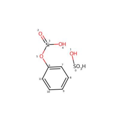 O=S(=O)(O)O.O=[Si](O)Oc1ccccc1